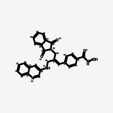 O=C(NO)c1ccc(C=C(CNc2cnc3ccccc3c2)CN2C(=O)c3ccccc3C2=O)cc1